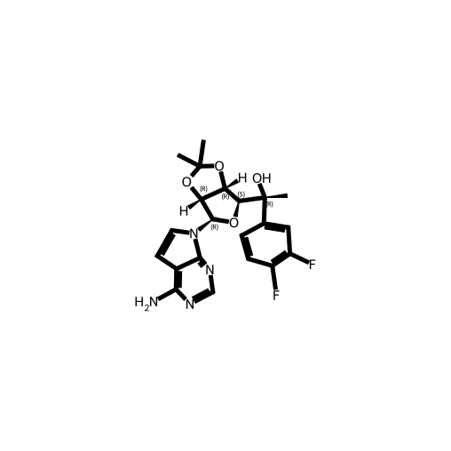 CC1(C)O[C@@H]2[C@H](O1)[C@@H]([C@](C)(O)c1ccc(F)c(F)c1)O[C@H]2n1ccc2c(N)ncnc21